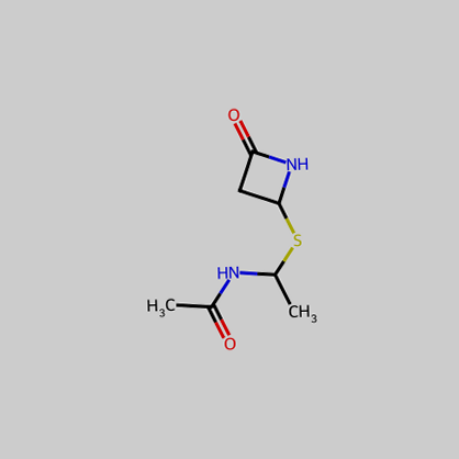 CC(=O)NC(C)SC1CC(=O)N1